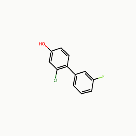 Oc1ccc(-c2cccc(F)c2)c(Cl)c1